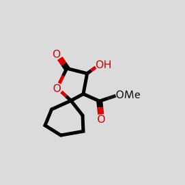 COC(=O)C1C(O)C(=O)OC12CCCCC2